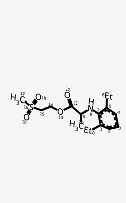 CCc1cccc(CC)c1NC(C)C(=O)OCCS(C)(=O)=O